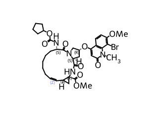 COC(=O)[C@@]12C[C@H]1/C=C\CCCCC[C@H](NC(=O)OC1CCCC1)C(=O)N1C[C@H](Oc3cc(=O)n(C)c4c(Br)c(OC)ccc34)C[C@H]1C(=O)N2